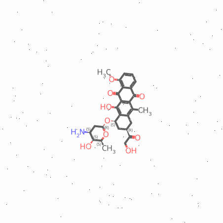 COc1cccc2c1C(=O)c1c(O)c3c(c(C)c1C2=O)C[C@@H](C(=O)CO)C[C@@H]3O[C@H]1C[C@H](N)[C@H](O)[C@H](C)O1